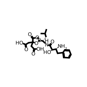 CC(C)C[C@H](NC(=O)[C@@H](O)[C@H](N)Cc1ccccc1)B1OC(=O)C(CC(=O)O)(CC(=O)O)O1